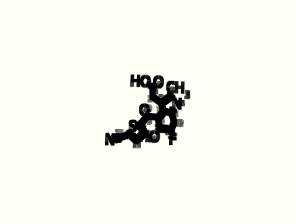 CC1=C(CC(=O)O)C2=C(C(=O)c3ccc(C#N)s3)C(O)=C(F)CC2=N1